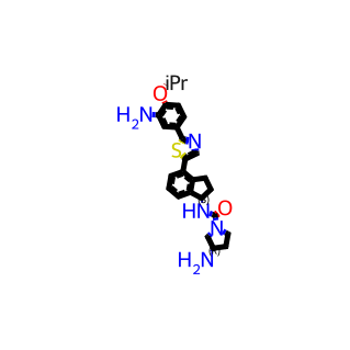 CC(C)Oc1ccc(-c2ncc(-c3cccc4c3CC[C@@H]4NC(=O)N3CC[C@@H](N)C3)s2)cc1N